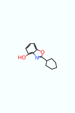 Oc1cccc2oc(C3CCCCC3)nc12